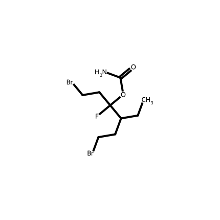 CCC(CCBr)C(F)(CCBr)OC(N)=O